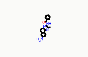 Cc1nc2c(nc1NC(=O)c1ccccc1)CCc1cc(N)ccc1-2